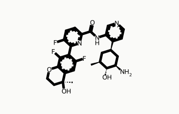 C[C@H]1C[C@@H](c2ccncc2NC(=O)c2ccc(F)c(-c3c(F)cc4c(c3F)OCC[C@]4(C)O)n2)C[C@@H](N)[C@@H]1O